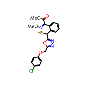 CON=C(C(=O)OC)c1ccccc1C(S)c1nnc(COc2ccc(Cl)cc2)o1